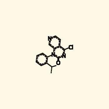 CC(C)c1ccccc1-n1c(=O)nc(Cl)c2ccncc21